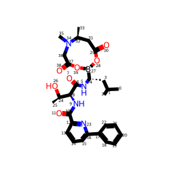 CC(C)C[C@H](NC(=O)[C@@H](NC(=O)c1cccc(-c2ccccc2)n1)[C@@H](C)O)B1OC(=O)C[C@H](C)N(C)CC(=O)O1